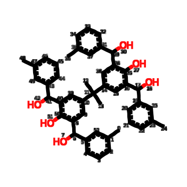 Cc1cccc(C(O)c2cc(C(C)(C)c3cc(C(O)c4cccc(C)c4)c(O)c(C(O)c4cccc(C)c4)c3)cc(C(O)c3cccc(C)c3)c2O)c1